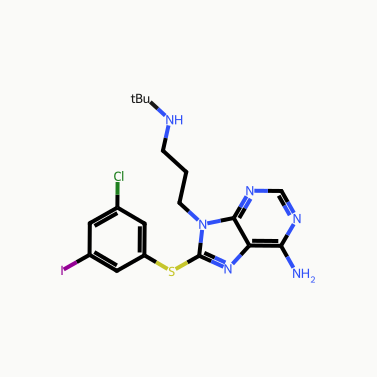 CC(C)(C)NCCCn1c(Sc2cc(Cl)cc(I)c2)nc2c(N)ncnc21